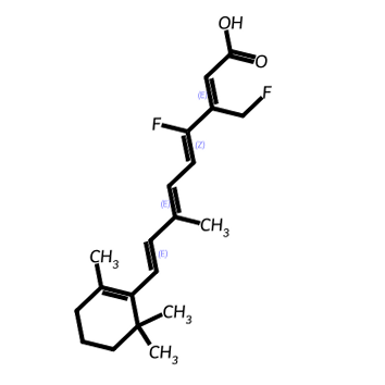 CC1=C(/C=C/C(C)=C/C=C(F)/C(=C/C(=O)O)CF)C(C)(C)CCC1